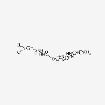 CN1CCN(c2ccc3[nH]c(-c4ccc5nc(-c6ccc(OCCCCC(=O)NCCNC(=O)CCCc7ccc(N(CCCl)CCCl)cc7)cc6)[nH]c5c4)nc3c2)CC1